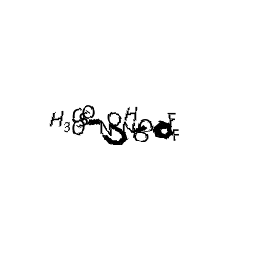 CS(=O)(=O)CCN1CCCCC(NC(=O)Oc2ccc(F)c(F)c2)C1=O